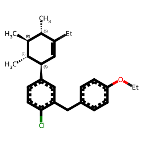 CCOc1ccc(Cc2cc([C@@H]3C=C(CC)[C@@H](C)[C@H](C)[C@H]3C)ccc2Cl)cc1